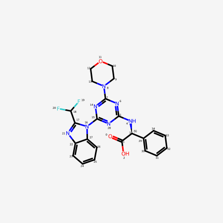 O=C(O)[C@@H](Nc1nc(N2CCOCC2)nc(-n2c(C(F)F)nc3ccccc32)n1)c1ccccc1